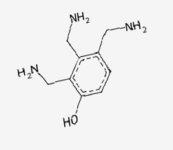 NCc1ccc(O)c(CN)c1CN